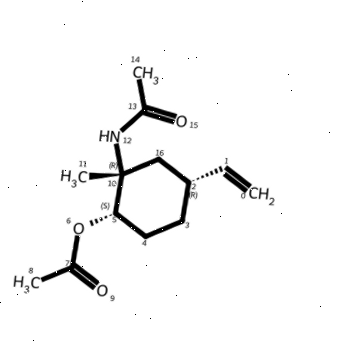 C=C[C@@H]1CC[C@H](OC(C)=O)[C@](C)(NC(C)=O)C1